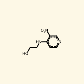 O=[N+]([O-])c1cnccc1NCCO